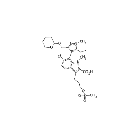 Cn1nc(COC2CCCCO2)c(-c2c(Cl)ccc3c(CCCOS(C)(=O)=O)c(C(=O)O)n(C)c23)c1CI